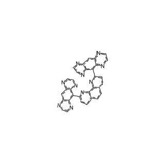 c1cnc2c(-c3ccc4ccc5ccc(-c6c7nccnc7cc7nccnc67)nc5c4n3)c3nccnc3cc2n1